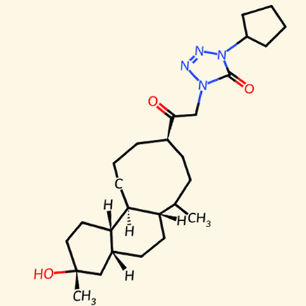 CC1CC[C@H](C(=O)Cn2nnn(C3CCCC3)c2=O)CCC[C@@H]2[C@H]3CC[C@@](C)(O)C[C@H]3CC[C@@H]12